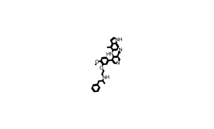 COc1ccc(-c2cncc(C#N)c2Nc2ccc3[nH]ccc3c2C)cc1OCCNC(C)Cc1ccccc1